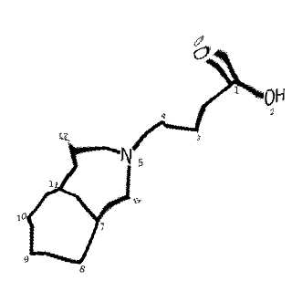 O=C(O)CCN1CC2CCCC2C1